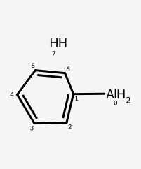 [AlH2][c]1ccccc1.[HH]